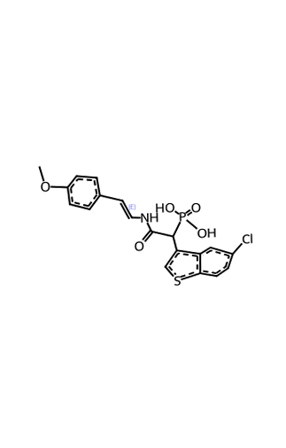 COc1ccc(/C=C/NC(=O)C(c2csc3ccc(Cl)cc23)P(=O)(O)O)cc1